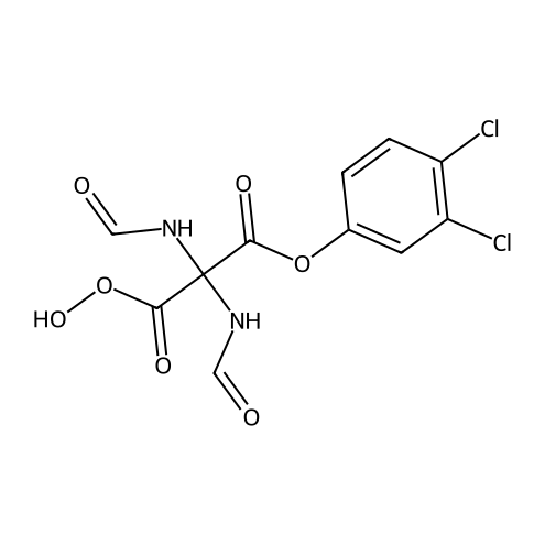 O=CNC(NC=O)(C(=O)OO)C(=O)Oc1ccc(Cl)c(Cl)c1